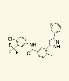 Cc1ccc(C(=O)Nc2ccc(Cl)c(C(F)(F)F)c2)cc1C1CC(c2cccnc2)=NN1